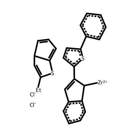 CCC1=CC2C=CC=C2S1.[Cl-].[Cl-].[Zr+2][CH]1C(c2ccc(-c3ccccc3)s2)=Cc2ccccc21